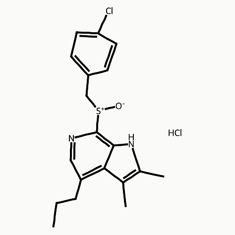 CCCc1cnc([S+]([O-])Cc2ccc(Cl)cc2)c2[nH]c(C)c(C)c12.Cl